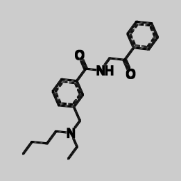 CCCCN(CC)Cc1cccc(C(=O)NCC(=O)c2ccccc2)c1